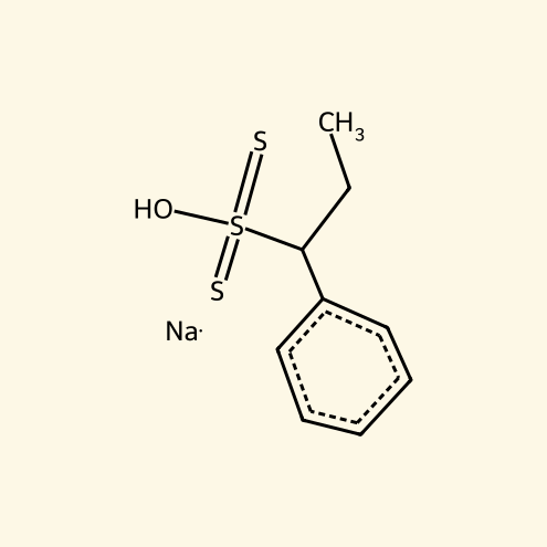 CCC(c1ccccc1)S(O)(=S)=S.[Na]